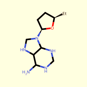 CC[C@@H]1CC[C@H](N2CNC3C(N)NCNC32)O1